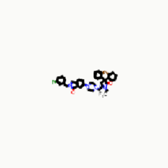 O=C1c2cc(N3CCN(CCCC4(C(=O)NCC(F)(F)F)c5ccccc5Sc5ccccc54)CC3)ccc2CN1Cc1cccc(F)c1